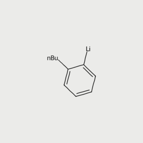 [Li][c]1ccccc1CCCC